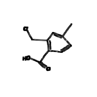 Cc1ccc(C(=O)O)c(CCl)c1